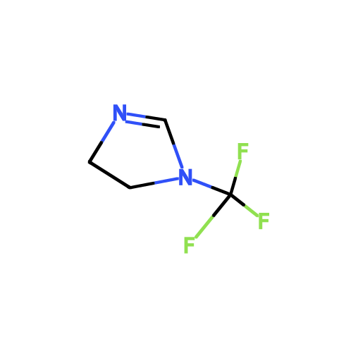 FC(F)(F)N1C=NCC1